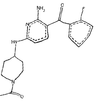 CC(=O)N1CCC(Nc2ccc(C(=O)c3ccccc3F)c(N)n2)CC1